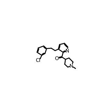 CN1CCC(C(=O)c2ncccc2CCc2cccc(Cl)c2)CC1